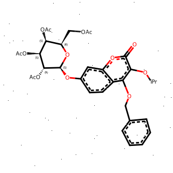 CC(=O)OC[C@H]1O[C@@H](Oc2ccc3c(OCc4ccccc4)c(OC(C)C)c(=O)oc3c2)[C@H](OC(C)=O)[C@@H](OC(C)=O)[C@H]1OC(C)=O